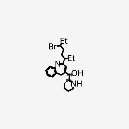 CCC(Br)CCC(CC)C1=Nc2ccccc2CC([C@@H](O)[C@H]2CCCCN2)=C1